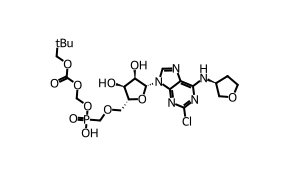 CC(C)(C)COC(=O)OCOP(=O)(O)COC[C@H]1O[C@@H](n2cnc3c(N[C@H]4CCOC4)nc(Cl)nc32)[C@H](O)[C@@H]1O